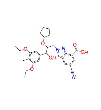 CCOc1cc(C(O)C(Cn2cc3cc(C#N)cc(C(=O)O)c3n2)OC2CCCC2)cc(OCC)c1C